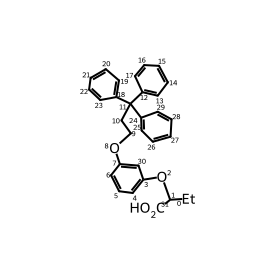 CCC(Oc1cccc(OCCC(c2ccccc2)(c2ccccc2)c2ccccc2)c1)C(=O)O